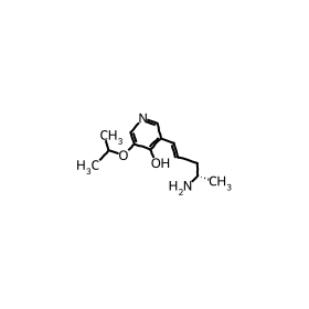 CC(C)Oc1cncc(C=CC[C@H](C)N)c1O